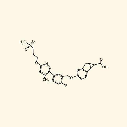 Cc1cc(OCCCS(C)(=O)=O)ncc1-c1ccc(F)c(COc2ccc3c(c2)CC2C(C(=O)O)C32)c1